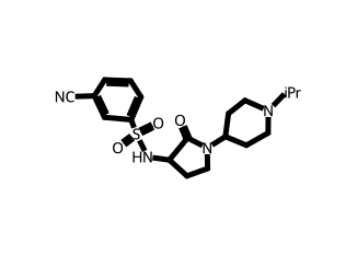 CC(C)N1CCC(N2CCC(NS(=O)(=O)c3cccc(C#N)c3)C2=O)CC1